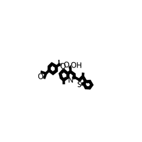 Cc1c(-c2cc(C(=O)O)c3c(O[C@H](C)c4ccc(C5COC5)cc4)ccc(C)c3n2)sc2ccccc12